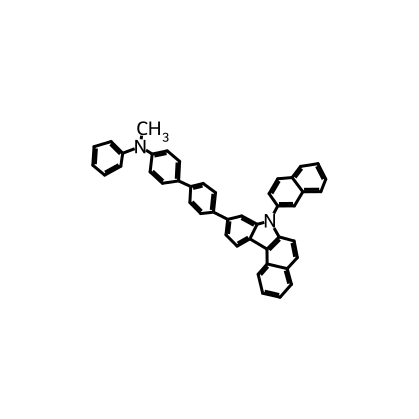 CN(c1ccccc1)c1ccc(-c2ccc(-c3ccc4c5c6ccccc6ccc5n(-c5ccc6ccccc6c5)c4c3)cc2)cc1